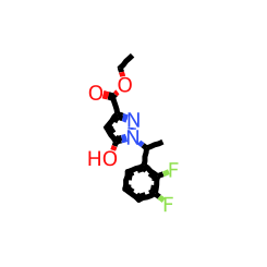 CCOC(=O)c1cc(O)n(C(C)c2cccc(F)c2F)n1